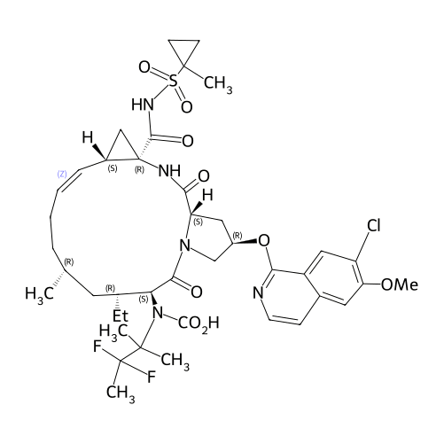 CC[C@@H]1C[C@H](C)CC/C=C\[C@@H]2C[C@@]2(C(=O)NS(=O)(=O)C2(C)CC2)NC(=O)[C@@H]2C[C@@H](Oc3nccc4cc(OC)c(Cl)cc34)CN2C(=O)[C@H]1N(C(=O)O)C(C)(C)C(C)(F)F